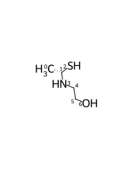 C[C@H](S)NCCO